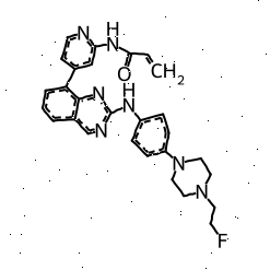 C=CC(=O)Nc1cc(-c2cccc3cnc(Nc4ccc(N5CCN(CCF)CC5)cc4)nc23)ccn1